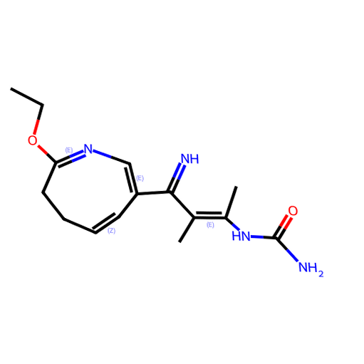 CCO/C1=N/C=C(C(=N)/C(C)=C(\C)NC(N)=O)\C=C/CC1